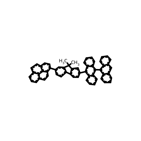 CC1(C)c2cc(-c3c4ccccc4c(-c4c5ccccc5cc5ccccc45)c4ccccc34)ccc2-c2ccc(-c3ccc4ccc5cccc6ccc3c4c56)cc21